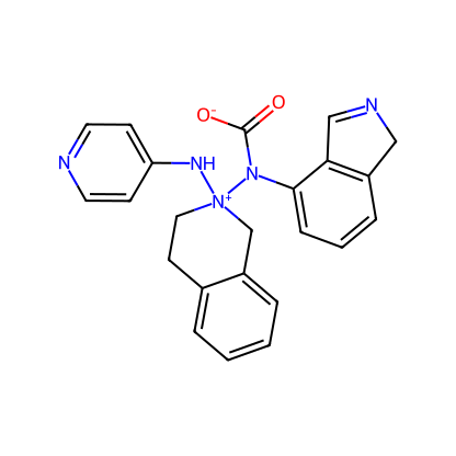 O=C([O-])N(c1cccc2c1C=NC2)[N+]1(Nc2ccncc2)CCc2ccccc2C1